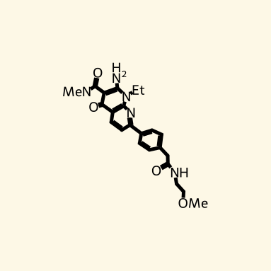 CCn1c(N)c(C(=O)NC)c(=O)c2ccc(-c3ccc(CC(=O)NCCOC)cc3)nc21